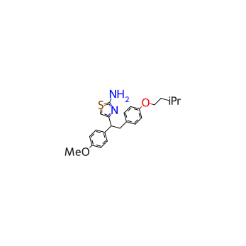 COc1ccc(C(Cc2ccc(OCCC(C)C)cc2)c2csc(N)n2)cc1